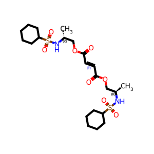 C[C@H](COC(=O)/C=C/C(=O)OC[C@@H](C)NS(=O)(=O)C1CCCCC1)NS(=O)(=O)C1CCCCC1